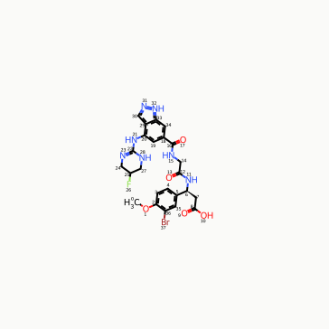 COc1ccc([C@H](CC(=O)O)NC(=O)CNC(=O)c2cc(NC3=NCC(F)CN3)c3cn[nH]c3c2)cc1Br